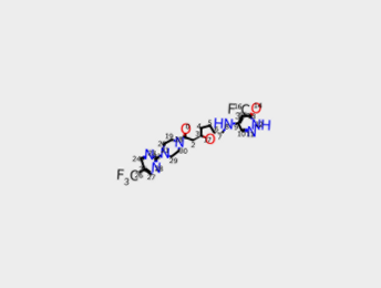 O=C(C[C@H]1CC[C@H](CNc2cn[nH]c(=O)c2C(F)(F)F)O1)N1CCN(c2ncc(C(F)(F)F)cn2)CC1